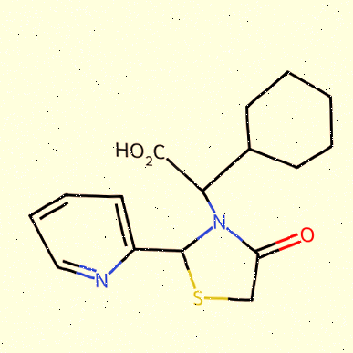 O=C(O)C(C1CCCCC1)N1C(=O)CSC1c1ccccn1